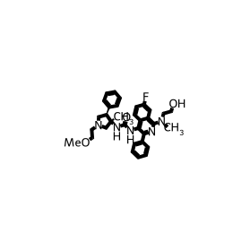 COCCN1C[C@@H](c2ccccc2)[C@](C)(NC(=O)Nc2c(-c3ccccc3)nc(N(C)CCO)c3cc(F)ccc23)C1